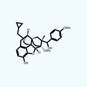 COc1ccc(C(O)[C@@]2(C)C[C@@]34CC[C@]2(OC)[C@@H]2Oc5c(O)ccc6c5[C@@]23CCN(CC2CC2)[C@@H]4C6)cc1